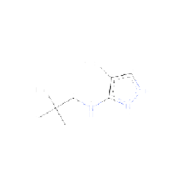 CC(C)(CNc1n[nH]cc1C(=O)O)C(F)(F)F